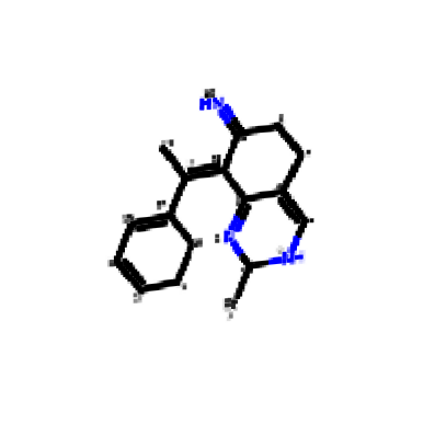 CCC1N=C2C(=CN1)CCC(=N)/C2=C(\C)C1=CC=CCC1